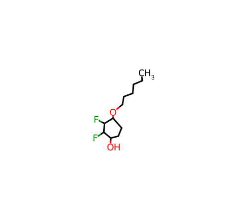 CCCCCCOC1CCC(O)C(F)C1F